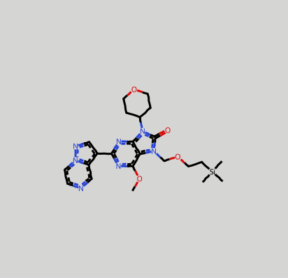 COc1nc(-c2cnn3ccncc23)nc2c1n(COCC[Si](C)(C)C)c(=O)n2C1CCOCC1